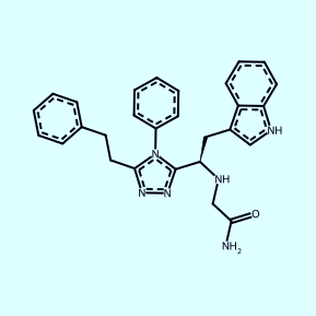 NC(=O)CN[C@H](Cc1c[nH]c2ccccc12)c1nnc(CCc2ccccc2)n1-c1ccccc1